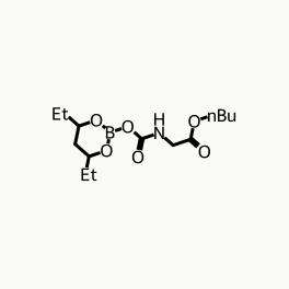 CCCCOC(=O)CNC(=O)OB1OC(CC)CC(CC)O1